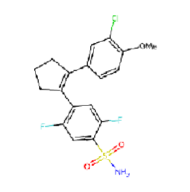 COc1ccc(C2=C(c3cc(F)c(S(N)(=O)=O)cc3F)CCC2)cc1Cl